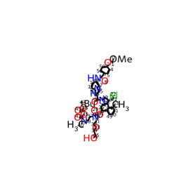 COCOc1ccc(C(=O)Nc2ccc3nc(C(=O)N4C[C@@H](CCl)c5c4cc(OC(=O)N(CCOCCO)CCN(C)C(=O)OC(=O)OC(C)(C)C)c4cccc(C)c54)cn3c2)cc1